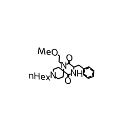 CCCCCCN1CCC2(CC1)C(=O)NC(Cc1ccccc1)C(=O)N2CCOC